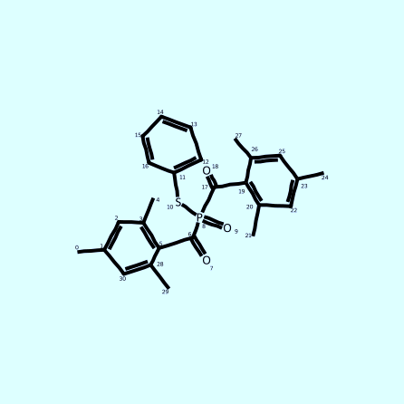 Cc1cc(C)c(C(=O)P(=O)(Sc2ccccc2)C(=O)c2c(C)cc(C)cc2C)c(C)c1